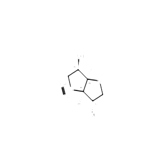 C=C.O[C@@H]1CO[C@H]2[C@@H]1OC[C@@H]2O